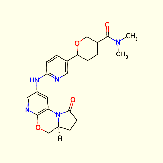 CN(C)C(=O)C1CCC(c2ccc(Nc3cnc4c(c3)N3C(=O)CC[C@H]3CO4)nc2)OC1